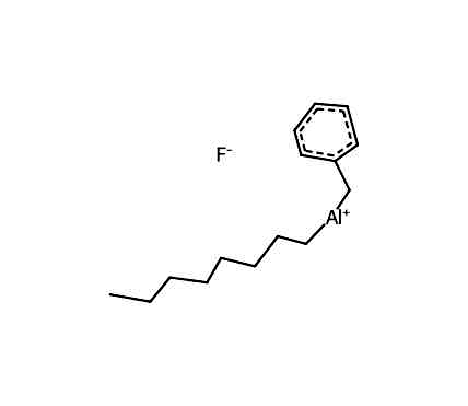 CCCCCCC[CH2][Al+][CH2]c1ccccc1.[F-]